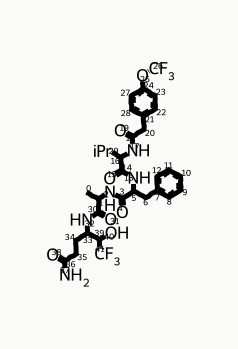 CC(NC(=O)C(Cc1ccccc1)NC(=O)C(NC(=O)Cc1ccc(OC(F)(F)F)cc1)C(C)C)C(=O)NC(CCC(N)=O)C(O)C(F)(F)F